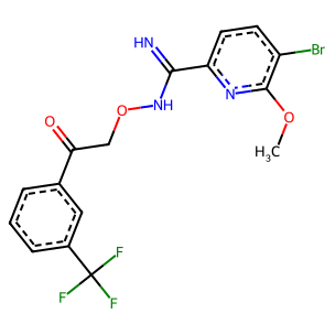 COc1nc(C(=N)NOCC(=O)c2cccc(C(F)(F)F)c2)ccc1Br